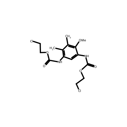 COc1c(NC(=O)OCCCl)cc(NC(=O)OCCCl)c(C)c1C